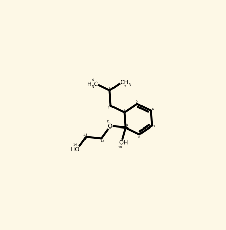 CC(C)CC1C=CC=CC1(O)OCCO